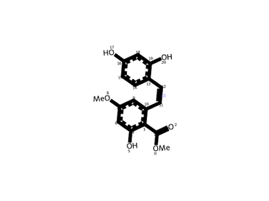 COC(=O)c1c(O)cc(OC)cc1/C=C\c1ccc(O)cc1O